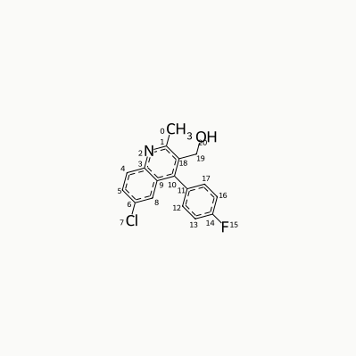 Cc1nc2ccc(Cl)cc2c(-c2ccc(F)cc2)c1CO